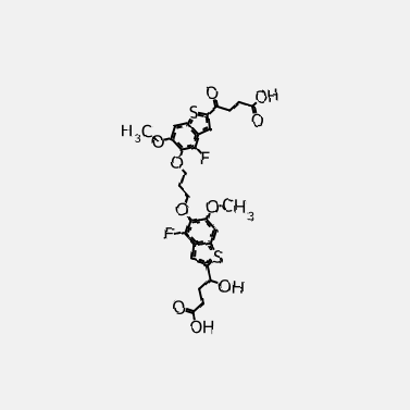 COc1cc2sc(C(=O)CCC(=O)O)cc2c(F)c1OCCCOc1c(OC)cc2sc(C(O)CCC(=O)O)cc2c1F